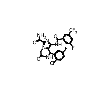 NC(=O)c1nc(NC(=O)c2cc(F)cc(C(F)(F)F)c2)c2n1CC(=O)NC2c1cc(F)ccc1Cl